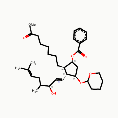 COC(=O)CCCCCC[C@@H]1[C@@H](/C=C/[C@@H](O)C(C)CC=C(C)C)[C@H](OC2CCCCO2)C[C@@H]1OC(=O)c1ccccc1